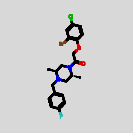 C[C@@H]1CN(Cc2ccc(F)cc2)[C@@H](C)CN1C(=O)COc1ccc(Cl)cc1Br